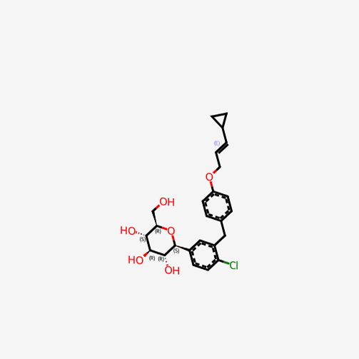 OC[C@H]1O[C@@H](c2ccc(Cl)c(Cc3ccc(OC/C=C/C4CC4)cc3)c2)[C@H](O)[C@@H](O)[C@@H]1O